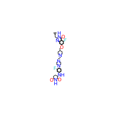 O=C1CCC(Nc2ccc(N3CCN(CCN4CCC(COc5cc(F)c6c(=O)[nH]c(CC7CC7)nc6c5)CC4)CC3)c(F)c2)C(=O)N1